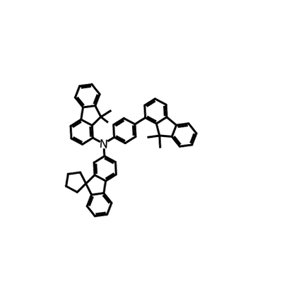 CC1(C)c2ccccc2-c2cccc(-c3ccc(N(c4ccc5c(c4)C4(CCCC4)c4ccccc4-5)c4cccc5c4C(C)(C)c4ccccc4-5)cc3)c21